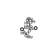 CC(C)C[C@H](NC(=O)OC(C)(C)C)C(=O)N[C@H](CCc1ccccc1CNC(=O)OC(C)(C)C)C(=O)OCc1ccccc1